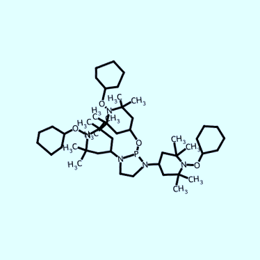 CC1(C)CC(OP2N(C3CC(C)(C)N(OC4CCCCC4)C(C)(C)C3)CCN2C2CC(C)(C)N(OC3CCCCC3)C(C)(C)C2)CC(C)(C)N1OC1CCCCC1